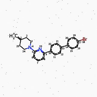 C=C1CCN(c2cccc(-c3ccc(-c4ccc(Br)cc4)cc3)n2)CC1